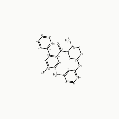 C[C@@H]1CC[C@@H](Oc2cc(N)ccn2)CN1C(=O)c1ccc(F)cc1-c1ncccn1